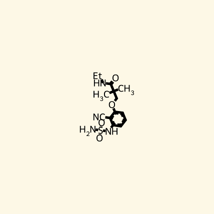 CCNC(=O)C(C)(C)COc1cccc(NS(N)(=O)=O)c1C#N